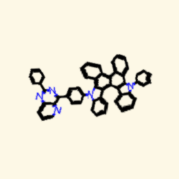 c1ccc(-c2nc(-c3ccc(-n4c5ccccc5c5c6c(c7ccccc7c7c6c6ccccc6n7-c6ccccc6)c6ccccc6c54)cc3)c3ncccc3n2)cc1